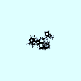 Nc1cc(Cl)c(C(F)(F)F)c(-c2nc3c4c(nc(OC[C@@]56CCCN5C[C@H](F)C6)nc4c2F)N2C[C@H]4CC[C@H](N4)C2CCO3)c1